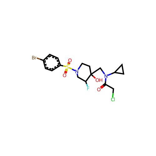 O=C(CCl)N(CC1(O)CCN(S(=O)(=O)c2ccc(Br)cc2)CC1F)C1CC1